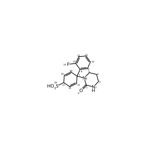 O=C1NCCCN1C1(c2ccccc2F)C=CC(S(=O)(=O)O)C=C1